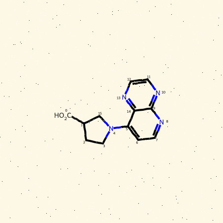 O=C(O)C1CCN(c2ccnc3nccnc23)C1